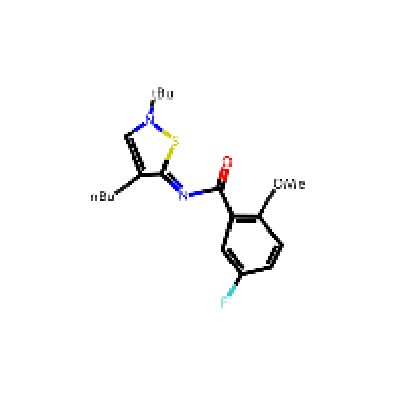 CCCCc1cn(C(C)(C)C)s/c1=N\C(=O)c1cc(F)ccc1OC